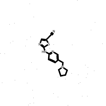 N#Cc1cnc(Nc2ccc(CN3CCCC3)cn2)s1